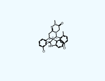 Cc1ccc(F)cc1[C@@H]1N2CC(=O)N(C)N=C2C[C@H](c2cccc(Cl)c2)[C@@]12C(=O)Nc1cc(Cl)ccc12